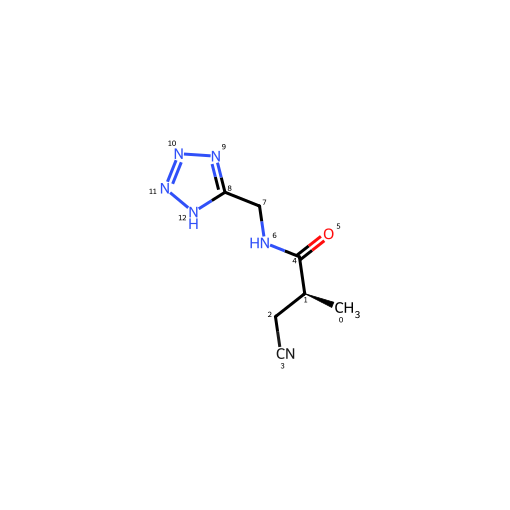 C[C@@H](CC#N)C(=O)NCc1nnn[nH]1